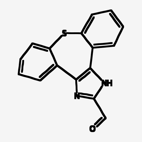 O=Cc1nc2c([nH]1)-c1ccccc1Sc1ccccc1-2